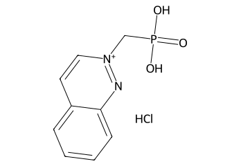 Cl.O=P(O)(O)C[n+]1ccc2ccccc2n1